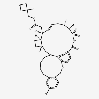 C[C@@H]1[C@@H](C)C/C=C/[C@@](O)(CC(=O)OCC2(C)COC2)[C@@H]2CC[C@H]2CN2CCCCc3cc(Cl)ccc3COc3ccc(cc32)C(=O)NS1(=O)=O